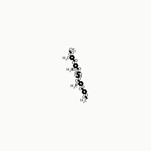 C=CC(=O)Oc1ccc(C(=O)Oc2ccc(C(=O)O[C@@H]3CO[C@H]4[C@@H]3OC[C@H]4OC(=O)c3ccc(OC(=O)c4ccc(OC(=O)C=C)c(C)c4)cc3OC)c(OC)c2)cc1